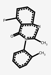 Cc1ccccc1-n1c(C)nc2cccc(F)c2c1=O